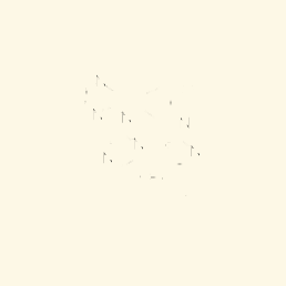 CC1(C)CC(=O)c2sc(N3CCOc4ccc(N(c5cnccn5)c5cnccn5)cc43)nc2C1